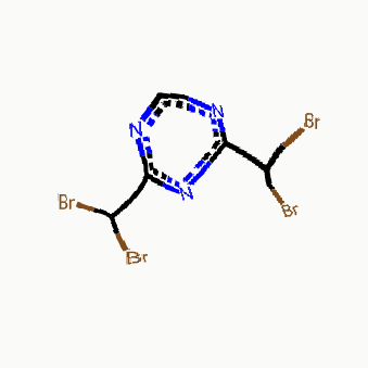 BrC(Br)c1ncnc(C(Br)Br)n1